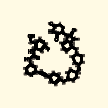 Cn1c(=O)n(C2CCC(=O)NC2=O)c2cccc(CN3CCC(OC4CCN(Cc5ccc(C#Cc6cc(NC(=O)Nc7cc(F)ncc7CO)ccn6)cc5)CC4)CC3)c21